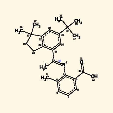 C/C(=N\c1c(C)cccc1C(=O)O)c1cc(C(C)(C)C)cc2c1CCC2(C)C